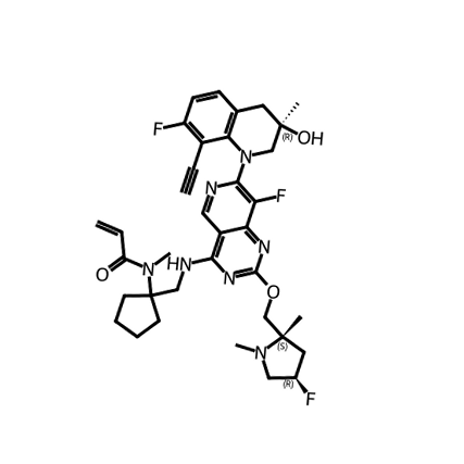 C#Cc1c(F)ccc2c1N(c1ncc3c(NCC4(N(C)C(=O)C=C)CCCC4)nc(OC[C@]4(C)C[C@@H](F)CN4C)nc3c1F)C[C@](C)(O)C2